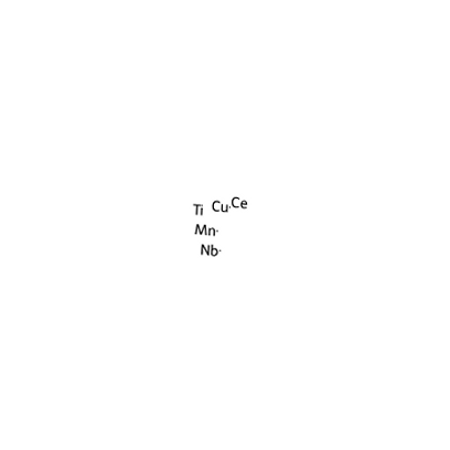 [Ce].[Cu].[Mn].[Nb].[Ti]